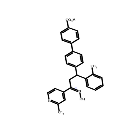 Cc1ccccc1C(C/C(=N/O)c1ccnc(C(F)(F)F)c1)c1ccc(-c2ccc(C(=O)O)cc2)cc1